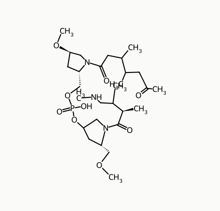 CNCC(C)[C@@H](C)C(=O)N1CC(OP(=O)(O)OC[C@@H]2C[C@@H](OC)CN2C(=O)CC(C)C(C)CC(C)=O)C[C@H]1COC